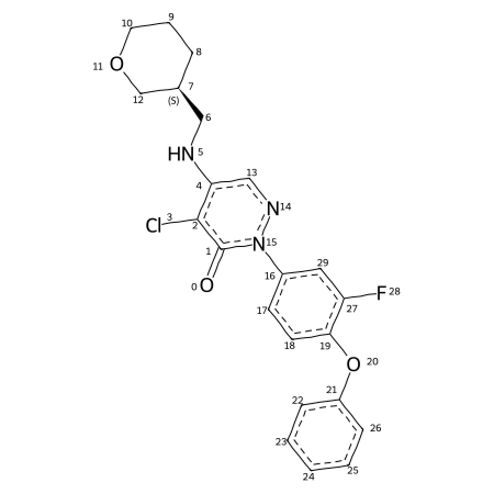 O=c1c(Cl)c(NC[C@@H]2CCCOC2)cnn1-c1ccc(Oc2ccccc2)c(F)c1